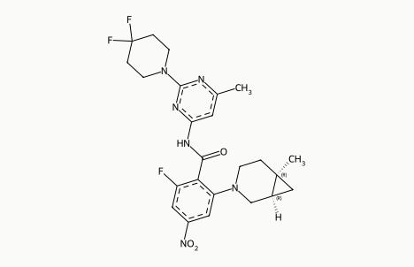 Cc1cc(NC(=O)c2c(F)cc([N+](=O)[O-])cc2N2CC[C@@]3(C)C[C@H]3C2)nc(N2CCC(F)(F)CC2)n1